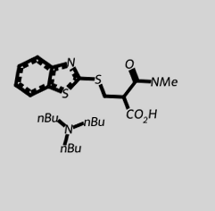 CCCCN(CCCC)CCCC.CNC(=O)C(CSc1nc2ccccc2s1)C(=O)O